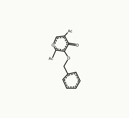 CC(=O)c1occ(C(C)=O)c(=O)c1OCc1ccccc1